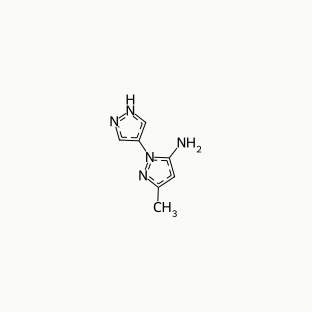 Cc1cc(N)n(-c2cn[nH]c2)n1